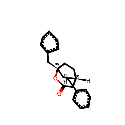 O=C1C[C@H]2CC[C@](Cc3ccccc3)(C[C@@H]2c2ccccc2)O1